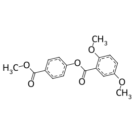 COC(=O)c1ccc(OC(=O)c2cc(OC)ccc2OC)cc1